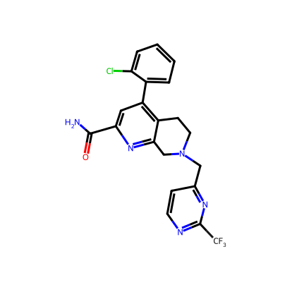 NC(=O)c1cc(-c2ccccc2Cl)c2c(n1)CN(Cc1ccnc(C(F)(F)F)n1)CC2